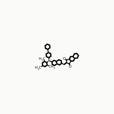 Cc1cc(C)c(N(c2ccc(-c3ccccc3)cc2)c2ccc3cc(C=C4C(=O)c5cc6ccccc6cc5C4=O)ccc3c2)c(C)c1